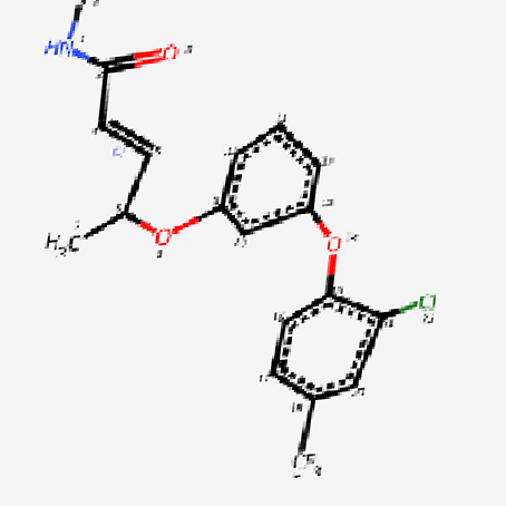 CC(C)NC(=O)/C=C/C(C)Oc1cccc(Oc2ccc(C(F)(F)F)cc2Cl)c1